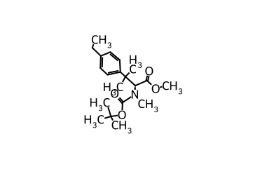 CCc1ccc(C(C)(C)[C@@H](C(=O)OC)N(C)C(=O)OC(C)(C)C)cc1